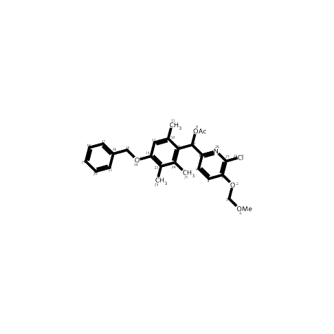 COCOc1ccc(C(OC(C)=O)c2c(C)cc(OCc3ccccc3)c(C)c2C)nc1Cl